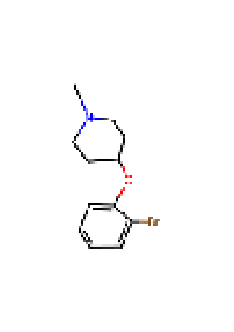 CN1CCC(Oc2ccccc2Br)CC1